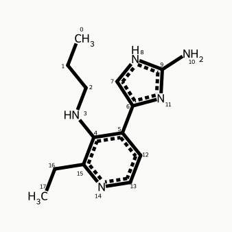 CCCNc1c(-c2c[nH]c(N)n2)ccnc1CC